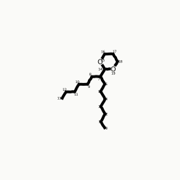 CCCCCCCC(CCCCCC)C1OCCCO1